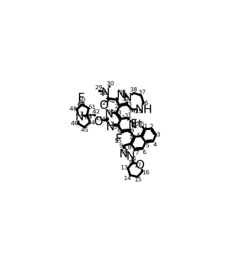 CCc1cccc2cc3c(cnn3C3CCCCO3)c(-c3ncc4c(-c5c(C(=O)N(C)C)nn6c5CNCCC6)nc(OC[C@@]56CCCN5C[C@H](F)C6)nc4c3F)c12